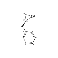 c1ccc(C[C@H]2CO2)cc1